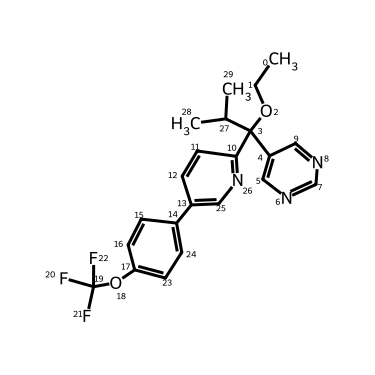 CCOC(c1cncnc1)(c1ccc(-c2ccc(OC(F)(F)F)cc2)cn1)C(C)C